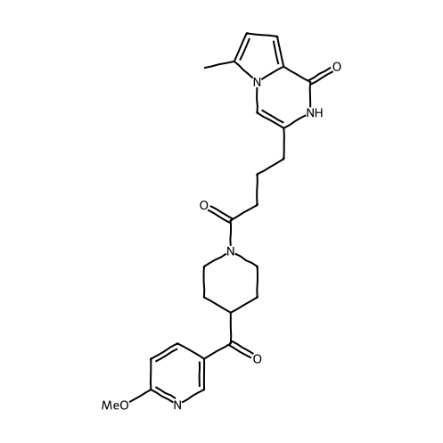 COc1ccc(C(=O)C2CCN(C(=O)CCCc3cn4c(C)ccc4c(=O)[nH]3)CC2)cn1